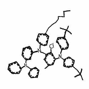 CCCCCCc1ccc(N(c2cccc(N(c3ccccc3)c3ccccc3)c2)c2cc(C)cc(N(c3ccc(C(C)(C)C)cc3)c3ccc(C(C)(C)C)cc3)c2Cl)cc1